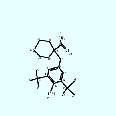 CC(C)(C)c1cc(CC2(C(=O)O)CCSCC2)cc(C(C)(C)C)c1O